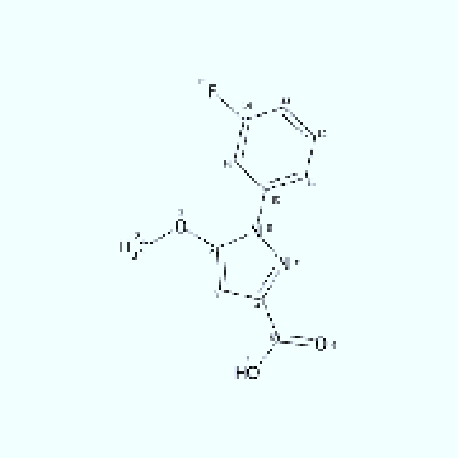 COc1cc(C(=O)O)nn1-c1cccc(F)c1